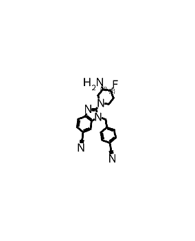 N#Cc1ccc(Cn2c(N3CC[C@@H](F)[C@H](N)C3)nc3ccc(C#N)cc32)cc1